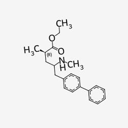 CCOC(=O)[C@H](C)CC(Cc1ccc(-c2ccccc2)cc1)NC